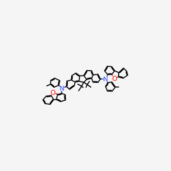 Cc1cccc(N(c2ccc3c4c(ccc3c2)-c2ccc3cc(N(c5cccc(C)c5)c5cccc6c5oc5ccccc56)ccc3c2C4(C(C)(C)C)C(C)(C)C)c2cccc3c2oc2ccccc23)c1